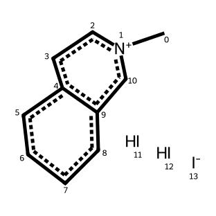 C[n+]1ccc2ccccc2c1.I.I.[I-]